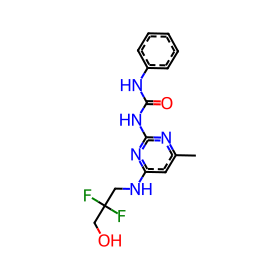 Cc1cc(NCC(F)(F)CO)nc(NC(=O)Nc2ccccc2)n1